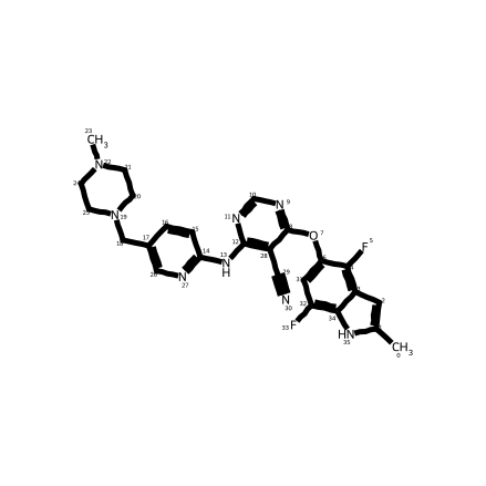 Cc1cc2c(F)c(Oc3ncnc(Nc4ccc(CN5CCN(C)CC5)cn4)c3C#N)cc(F)c2[nH]1